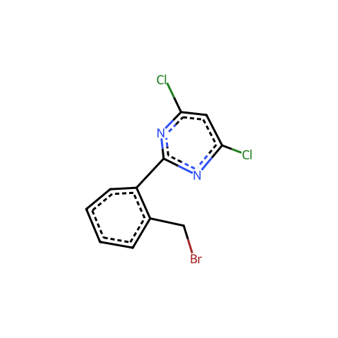 Clc1cc(Cl)nc(-c2ccccc2CBr)n1